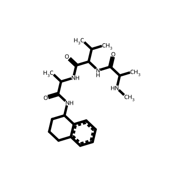 CNC(C)C(=O)NC(C(=O)NC(C)C(=O)NC1CCCc2ccccc21)C(C)C